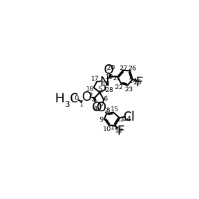 CCOC(=O)C1(COc2ccc(F)c(Cl)c2)CCN(C(=O)c2ccc(F)cc2)C1